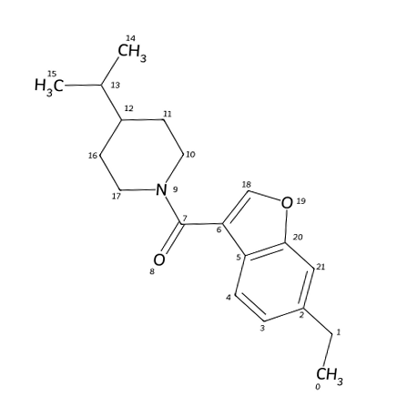 CCc1ccc2c(C(=O)N3CCC(C(C)C)CC3)coc2c1